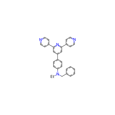 CCN(Cc1ccccc1)c1ccc(-c2cc(-c3ccncc3)nc(-c3ccncc3)c2)cc1